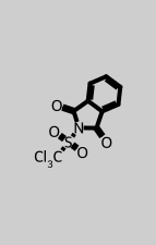 O=C1c2ccccc2C(=O)N1S(=O)(=O)C(Cl)(Cl)Cl